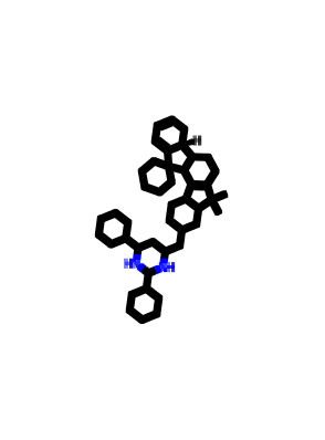 CC1(C)C2=C(C3CCC(CC4CC(C5CCCCC5)NC(C5CCCCC5)N4)CC31)C1C(CC2)[C@H]2CC=CC=C2C12CCCCC2